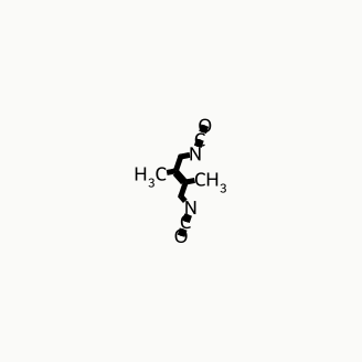 CC(CN=C=O)=C(C)CN=C=O